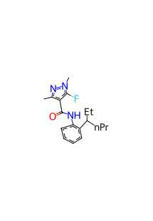 CCCC(CC)c1ccccc1NC(=O)c1c(C)nn(C)c1F